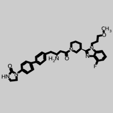 COCCCn1c([C@@H]2CCCN(C(=O)C[C@H](N)Cc3ccc(-c4ccc(N5CCNC5=O)cc4)cc3)C2)nc2c(F)cccc21